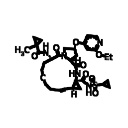 CCOc1cc(O[C@@H]2C[C@H]3C(=O)N[C@]4(C(=O)NS(=O)(=O)C5CC5)C[C@H]4/C=C\CCCCC[C@H](NC(=O)C4(C)CC4)C(=O)N3C2)ccn1